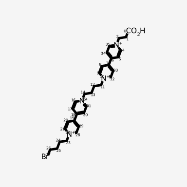 O=C(O)CC[n+]1ccc(-c2cc[n+](CCCC[n+]3ccc(-c4cc[n+](CCCCBr)cc4)cc3)cc2)cc1